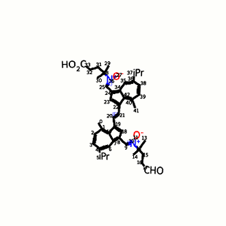 Cc1ccc(C(C)C)cc2c(/C=[N+](\[O-])C(C)(C)CCC=O)cc(/C=C/c3cc(/C=[N+](\[O-])C(C)(C)CCC(=O)O)c4cc(C(C)C)ccc(C)c3-4)c1-2